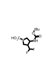 CC(C)(C)OC(=O)NC1CN(C(=O)O)CC1C(F)F